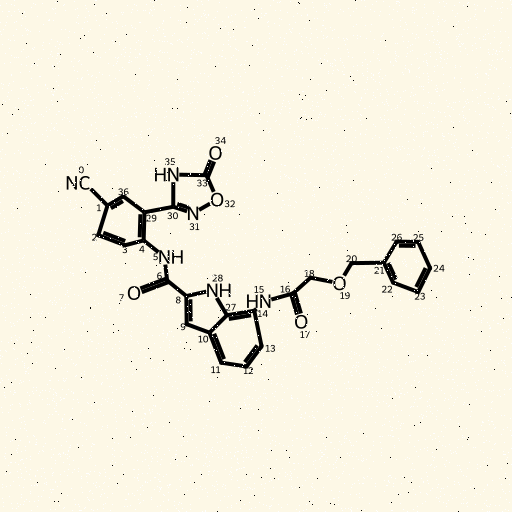 N#Cc1ccc(NC(=O)c2cc3cccc(NC(=O)COCc4ccccc4)c3[nH]2)c(-c2noc(=O)[nH]2)c1